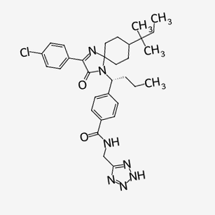 CCC[C@H](c1ccc(C(=O)NCc2nn[nH]n2)cc1)N1C(=O)C(c2ccc(Cl)cc2)=NC12CCC(C(C)(C)CC)CC2